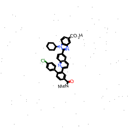 CNC(=O)c1ccc(-c2ccc(Cl)cc2)c(-c2ccc3cc(-c4nc5cc(C(=O)O)ccc5n4C4CCCCC4)ccc3n2)c1